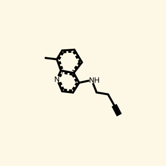 C#CCCNc1ccnc2c(C)cccc12